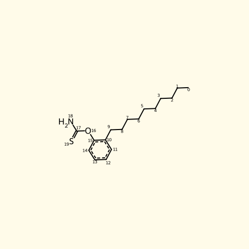 CCCCCCCCCCc1ccccc1OC(N)=S